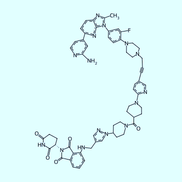 Cc1nc2ccc(-c3ccnc(N)c3)nc2n1-c1ccc(N2CCN(CC#Cc3ccc(N4CCC(C(=O)N5CCC(n6cc(CNc7cccc8c7C(=O)N([C@H]7CCC(=O)NC7=O)C8=O)cn6)CC5)CC4)nc3)CC2)c(F)c1